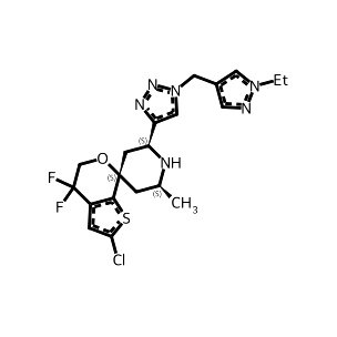 CCn1cc(Cn2cc([C@@H]3C[C@]4(C[C@H](C)N3)OCC(F)(F)c3cc(Cl)sc34)nn2)cn1